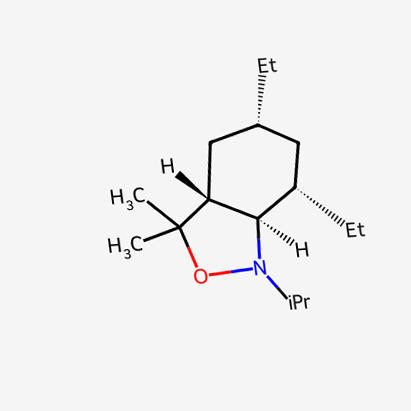 CC[C@@H]1C[C@H](CC)[C@@H]2[C@@H](C1)C(C)(C)ON2C(C)C